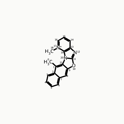 Cc1c2ccccc2cc2oc3nc4ccc[n+](C)c4n3c12